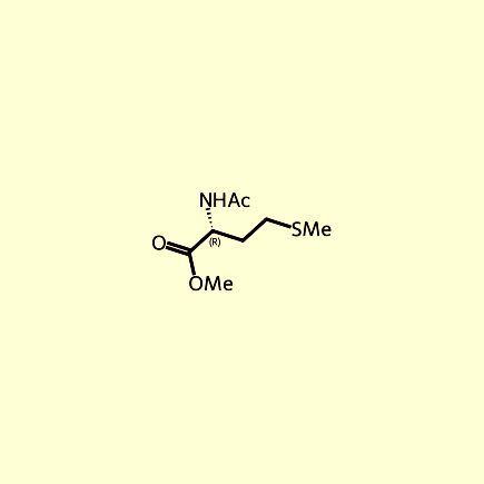 COC(=O)[C@@H](CCSC)NC(C)=O